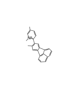 Cc1ccc(-c2cc3c(cc2C)-c2cccc4cccc-3c24)[n+](C)c1